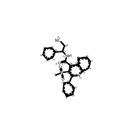 CS(=O)(=O)c1c(-c2ccccc2)nc2ccccc2c1C(=O)NC(CC#N)c1ccccc1